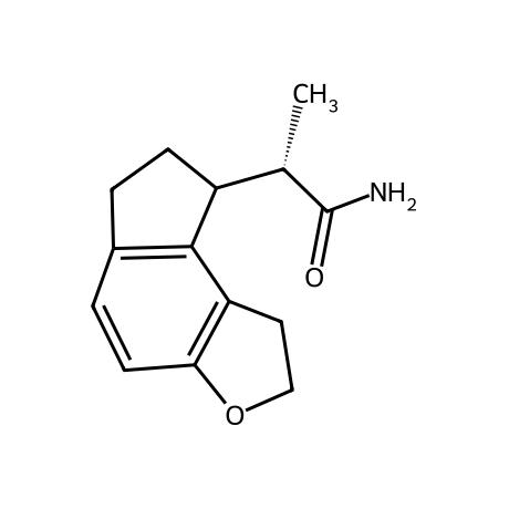 C[C@H](C(N)=O)C1CCc2ccc3c(c21)CCO3